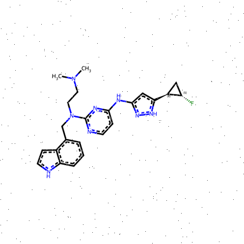 CN(C)CCN(Cc1cccc2[nH]ccc12)c1nccc(Nc2cc([C@H]3C[C@@H]3F)[nH]n2)n1